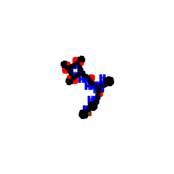 Cc1ccccc1CNc1nc(NCCC(=O)NCCCN2CCN(C(=O)OC(C)(C)C)CCN(C(=O)OC(C)(C)C)CCN(C(=O)OC(C)(C)C)CC2)nc(OCCNCc2ccc(-c3nc4ccccc4s3)cc2)n1